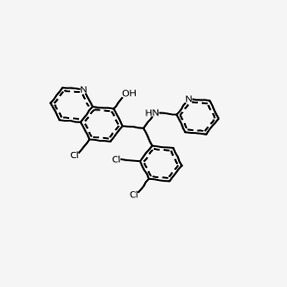 Oc1c(C(Nc2ccccn2)c2cccc(Cl)c2Cl)cc(Cl)c2cccnc12